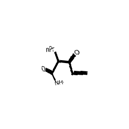 [CH2]CCC(C([NH])=O)C(=O)C=C